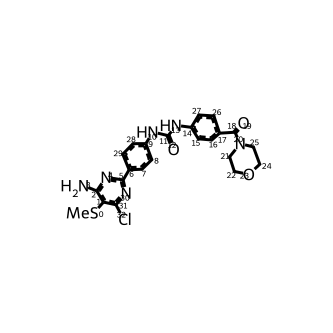 CSc1c(N)nc(-c2ccc(NC(=O)Nc3ccc(C(=O)N4CCOCC4)cc3)cc2)nc1Cl